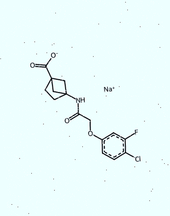 O=C(COc1ccc(Cl)c(F)c1)NC12CCC(C(=O)[O-])(C1)C2.[Na+]